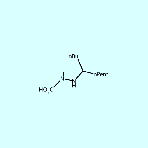 CCCCCC(CCCC)NNC(=O)O